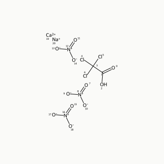 O=C(O)C(Cl)(Cl)Cl.O=[N+]([O-])[O-].O=[N+]([O-])[O-].O=[N+]([O-])[O-].[Ca+2].[Na+]